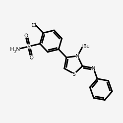 CCC(C)n1c(-c2ccc(Cl)c(S(N)(=O)=O)c2)csc1=Nc1ccccc1